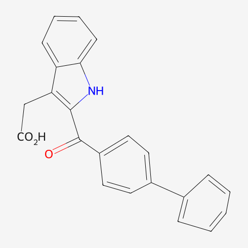 O=C(O)Cc1c(C(=O)c2ccc(-c3ccccc3)cc2)[nH]c2ccccc12